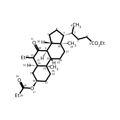 CCOC(=O)CCC(C)[C@H]1CC[C@H]2[C@@H]3C(=O)C(CC)[C@@H]4C[C@H](OC(=O)CC)CC[C@]4(C)[C@H]3CC[C@]12C